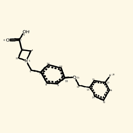 O=C(O)C1CN(Cc2ccc(OCc3cccc(F)c3)cc2)C1